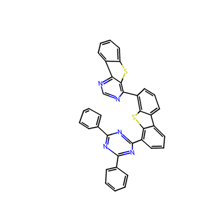 c1ccc(-c2nc(-c3ccccc3)nc(-c3cccc4c3sc3c(-c5ncnc6c5sc5ccccc56)cccc34)n2)cc1